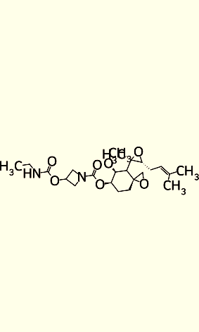 CCNC(=O)OC1CN(C(=O)O[C@@H]2CC[C@]3(CO3)C([C@@]3(C)O[C@@H]3CC=C(C)C)[C@@H]2OC)C1